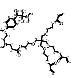 C=CC(=O)OCCOCC(COCCOC(=O)C=C)(COCCOC(=O)C=C)COCCOC(=O)CCN(C)CCN(C)c1ccc(C(=O)C(CC)(CC)N(C)C)cc1